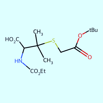 CCOC(=O)NC(C(=O)O)C(C)(C)SCC(=O)OC(C)(C)C